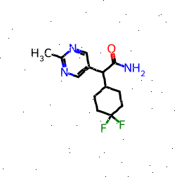 Cc1ncc(C(C(N)=O)C2CCC(F)(F)CC2)cn1